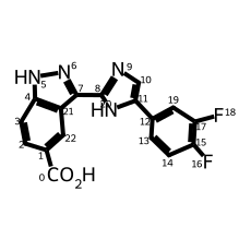 O=C(O)c1ccc2[nH]nc(-c3ncc(-c4ccc(F)c(F)c4)[nH]3)c2c1